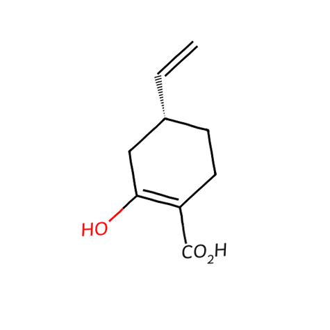 C=C[C@@H]1CCC(C(=O)O)=C(O)C1